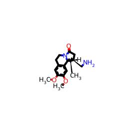 COc1cc2c(cc1OC)[C@@]13C[C@H](C)[C@@H](CN)[C@@H]1CC(=O)N3CC2